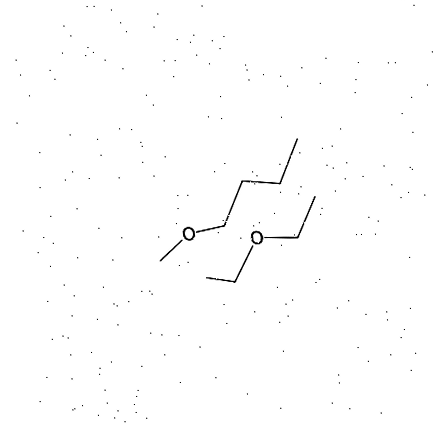 CCCCOC.CCOCC